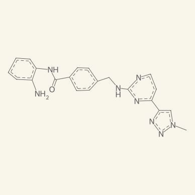 Cn1cc(-c2ccnc(NCc3ccc(C(=O)Nc4ccccc4N)cc3)n2)nn1